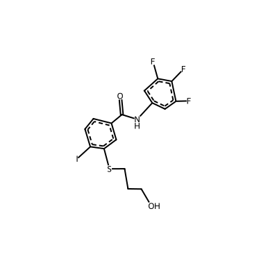 O=C(Nc1cc(F)c(F)c(F)c1)c1ccc(I)c(SCCCO)c1